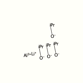 CC(C)[O-].CC(C)[O-].CC(C)[O-].CC(C)[O-].[Al+3].[Li+]